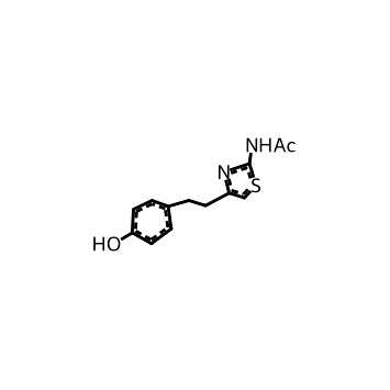 CC(=O)Nc1nc(CCc2ccc(O)cc2)cs1